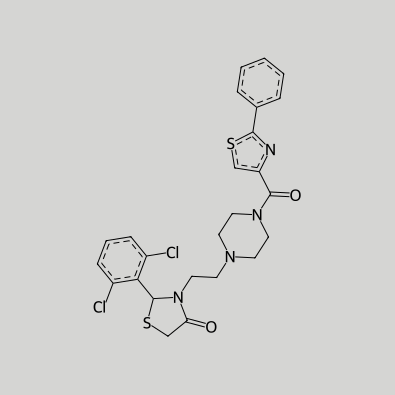 O=C(c1csc(-c2ccccc2)n1)N1CCN(CCN2C(=O)CSC2c2c(Cl)cccc2Cl)CC1